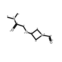 CN(C)C(=O)COC1CN(C=O)C1